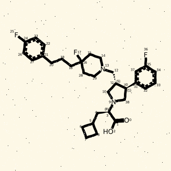 O=C(O)[C@@H](CC1CCC1)N1C[C@H](CN2CCC(F)(CCCc3ccc(F)cc3)CC2)[C@@H](c2cccc(F)c2)C1